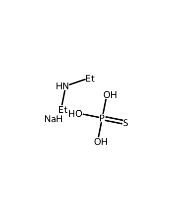 CCNCC.OP(O)(O)=S.[NaH]